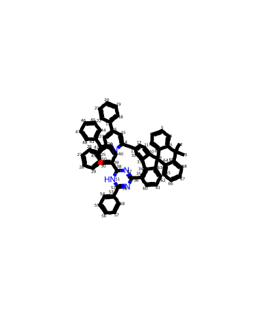 CC1(C)c2ccccc2C2(c3ccc(-c4cc(-c5ccccc5)cc(-c5ccccc5)n4)cc3-c3c(C4=NC(c5ccc(-c6ccccc6)cc5)NC(c5ccccc5)=N4)cccc32)c2ccccc21